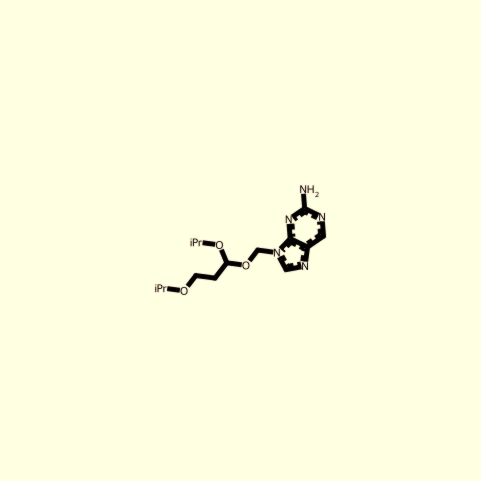 CC(C)OCCC(OCn1cnc2cnc(N)nc21)OC(C)C